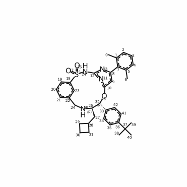 Cc1cccc(C)c1-c1cc2nc(n1)NS(=O)(=O)c1cccc(c1)CN[C@H](CC1CCC1)[C@@H](c1ccc(C(C)(C)C)cc1)O2